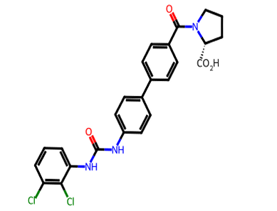 O=C(Nc1ccc(-c2ccc(C(=O)N3CCC[C@@H]3C(=O)O)cc2)cc1)Nc1cccc(Cl)c1Cl